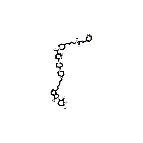 O=C(/C=C/c1cccnc1)NCCCCC1CCN(C(=O)c2ccc(N3CCC(N4CCN(CCCCCc5cccc6c5CN(C5CCC(=O)NC5=O)C6=O)CC4)CC3)nn2)CC1